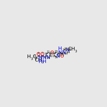 CC(C)C(=O)NC(=O)Nc1ccc(Oc2ccnc(NC(=O)N3CCN(C)CC3)c2)cn1